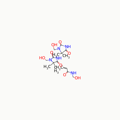 C=CC(=O)NCO.CC1(C)C(=O)NC(=O)N1CO.CC1(C)C(=O)NC(=O)N1CO